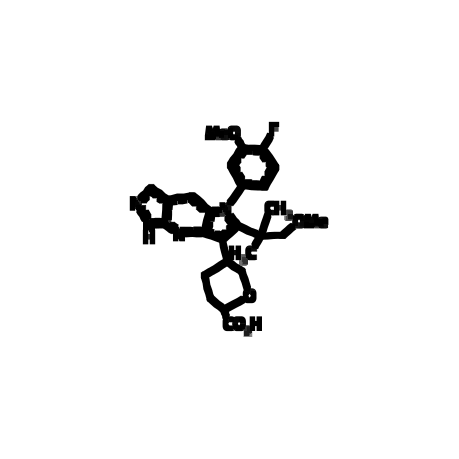 COCC(C)(C)c1c(C2CCC(C(=O)O)OC2)c2nc3[nH]ncc3cc2n1-c1ccc(F)c(OC)c1